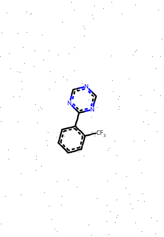 FC(F)(F)c1ccccc1-c1ncncn1